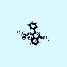 CP(C)(=O)OC(Cc1ccccc1)c1ccccc1C(N)=O